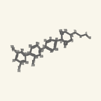 CCCCC1COC(c2ccc(-c3ccc(-c4cc(F)cc(F)c4)c(F)c3)cc2)OC1